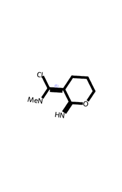 CN/C(Cl)=C1/CCCOC1=N